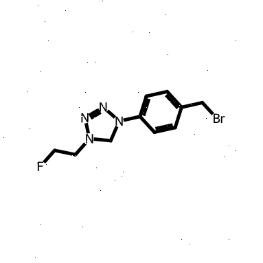 FCCN1CN(c2ccc(CBr)cc2)N=N1